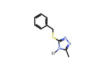 CCn1c(C)nnc1SCc1ccccc1